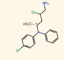 NCC(Cl)C[C@@H](C(=O)O)N(c1ccccc1)c1ccc(Cl)cc1